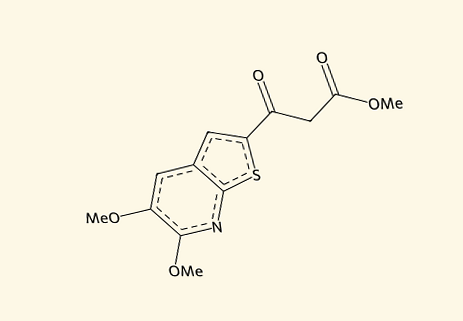 COC(=O)CC(=O)c1cc2cc(OC)c(OC)nc2s1